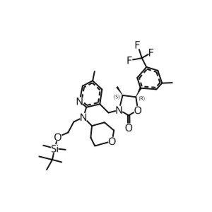 Cc1cc([C@H]2OC(=O)N(Cc3cc(C)cnc3N(CCO[Si](C)(C)C(C)(C)C)C3CCOCC3)[C@H]2C)cc(C(F)(F)F)c1